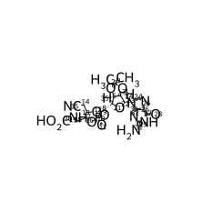 CC1(C)O[C@@H]2[C@H](O1)[C@@H](COP(=O)(OCCC#N)OCCNC(=O)O)O[C@H]2n1cnc2c(=O)[nH]c(N)nc21